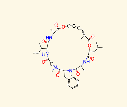 CCC(C)C1NC(=O)CN(C)C(=O)[C@@H](Cc2ccccc2)N(C)C(=O)[C@H](C)NC(=O)[C@@H](CC(C)C)OC(=O)/C(C)=C/CCCOC(=O)[C@@H](C)NC1=O